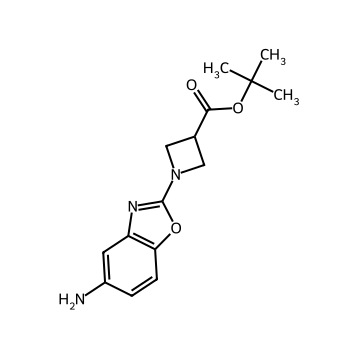 CC(C)(C)OC(=O)C1CN(c2nc3cc(N)ccc3o2)C1